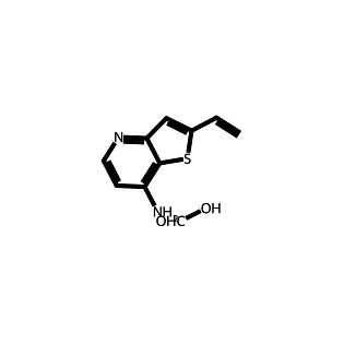 C=Cc1cc2nccc(N)c2s1.O=CO